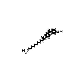 CCCCCCCCCCCC(=O)Oc1ccc(C(=O)c2ccc(O)cc2)cc1